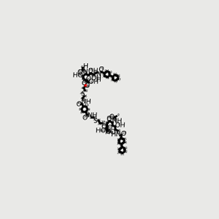 CC(=O)N[C@H]1[C@H]([C@H](O)[C@H](O)CNC(=O)c2ccc(-c3ccccc3)cc2)O[C@@](OCCCSCCNC(=O)C2CCC(C(=O)NCCSCCCO[C@]3(C(=O)O)C[C@H](O)[C@@H](NC(C)=O)[C@H]([C@H](O)[C@H](O)CNC(=O)c4ccc(-c5ccccc5)cc4)O3)CC2)(C(=O)O)C[C@@H]1O